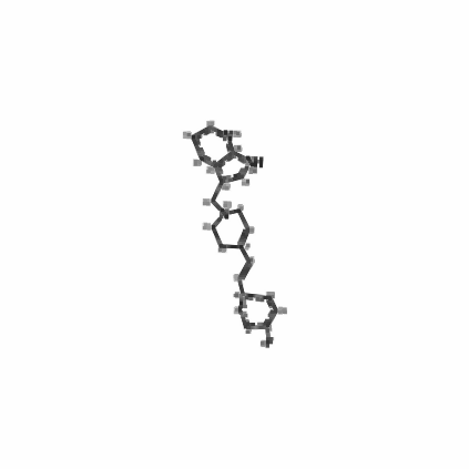 Fc1ccc(C=CC2=CCN(Cc3c[nH]c4ncccc34)CC2)cc1